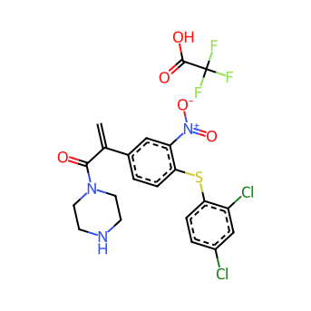 C=C(C(=O)N1CCNCC1)c1ccc(Sc2ccc(Cl)cc2Cl)c([N+](=O)[O-])c1.O=C(O)C(F)(F)F